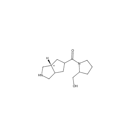 O=C(C1CC2CNC[C@@H]2C1)N1CCCC1CO